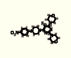 O=[N+]([O-])c1ccc(N2CCN(c3nc(N4CCOCC4)nc(N4CCOCC4)c3F)CC2)cc1